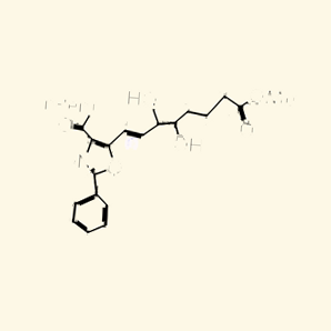 CCCCCC(=O)c1nc(-c2ccccc2)oc1/C=C/C(O)C(O)CCCC(=O)OC